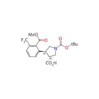 COC(=O)c1c([C@H]2CN(C(=O)OC(C)(C)C)C[C@@H]2C(=O)O)cccc1C(F)(F)F